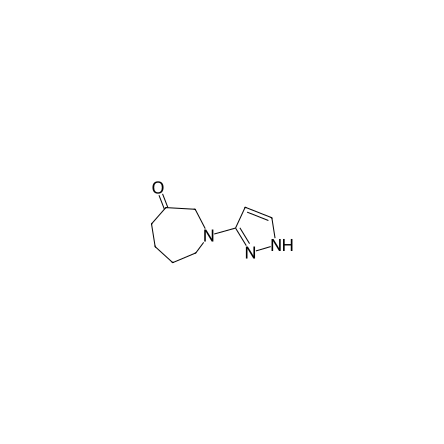 O=C1CCCCN(c2cc[nH]n2)C1